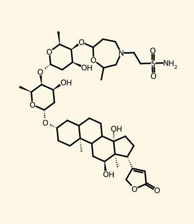 CC1CN(CCS(N)(=O)=O)CCC(O[C@@H]2[C@H](C)O[C@@H](O[C@@H]3[C@H](C)O[C@@H](O[C@H]4CC[C@@]5(C)C(CCC6C5C[C@H](O)[C@]5(C)[C@@H](C7=CC(=O)OC7)CC[C@]65O)C4)C[C@@H]3O)C[C@@H]2O)O1